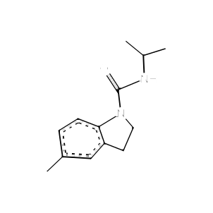 Cc1ccc2c(c1)CCN2C(=O)NC(C)C